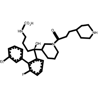 CCc1cccc(-c2c(F)cccc2[C@](O)(CCCNC(=O)O)C2CCCN(C(=O)CCC3CCNCC3)C2)c1